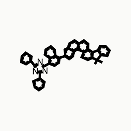 CC1(C)c2ccccc2-c2c1ccc1c2ccc2ccc3cc(-c4ccc(-c5nc(-c6ccccc6)nc(-c6ccccc6)n5)c5ccccc45)ccc3c21